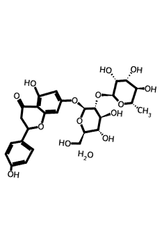 C[C@@H]1O[C@@H](O[C@H]2[C@H](Oc3cc(O)c4c(c3)OC(c3ccc(O)cc3)CC4=O)O[C@H](CO)[C@@H](O)[C@@H]2O)[C@H](O)[C@H](O)[C@H]1O.O